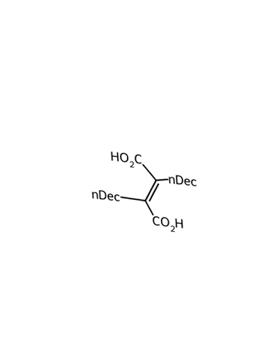 CCCCCCCCCCC(C(=O)O)=C(CCCCCCCCCC)C(=O)O